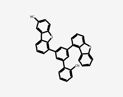 N#Cc1ccc2sc3c(-c4cc(-c5ccccc5C#N)cc(-c5cccc6sc7ccccc7c56)c4)cccc3c2c1